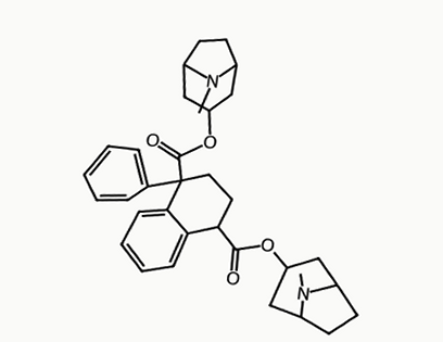 CN1C2CCC1CC(OC(=O)C1CCC(C(=O)OC3CC4CCC(C3)N4C)(c3ccccc3)c3ccccc31)C2